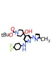 Cc1ccn(-c2cc(C3(O)CCN(C(=O)OC(C)(C)C)CC3)cc(NC3CCC(F)(F)CC3)n2)n1